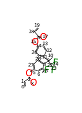 C=CC(=O)Oc1ccc(C(C)(c2ccc(OC(=O)C=C)cc2)C(F)(F)F)cc1